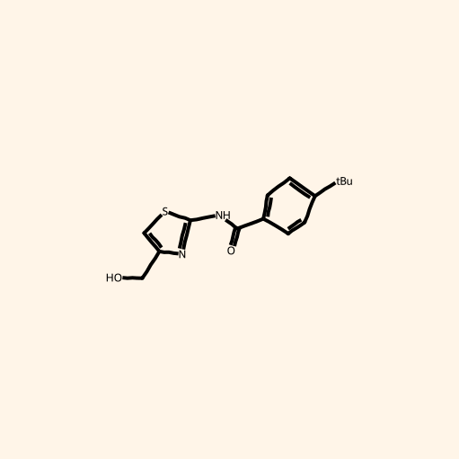 CC(C)(C)c1ccc(C(=O)Nc2nc(CO)cs2)cc1